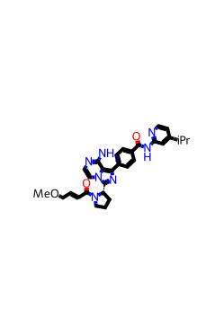 COC/C=C/C(=O)N1CCC[C@H]1c1nc(-c2ccc(C(=O)Nc3cc(C(C)C)ccn3)cc2)c2c(N)nccn12